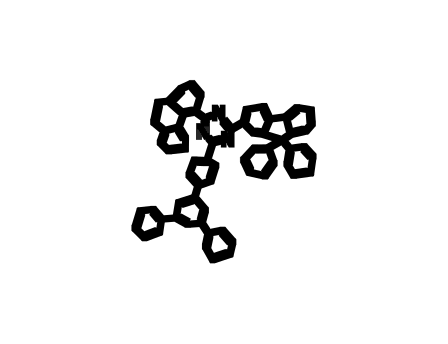 c1ccc(-c2cc(-c3ccccc3)cc(-c3ccc(-c4nc(-c5ccc6c(c5)C(c5ccccc5)(c5ccccc5)c5ccccc5-6)nc(-c5cccc6ccc7ccccc7c56)n4)cc3)c2)cc1